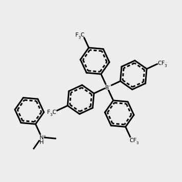 C[NH+](C)c1ccccc1.FC(F)(F)c1ccc([B-](c2ccc(C(F)(F)F)cc2)(c2ccc(C(F)(F)F)cc2)c2ccc(C(F)(F)F)cc2)cc1